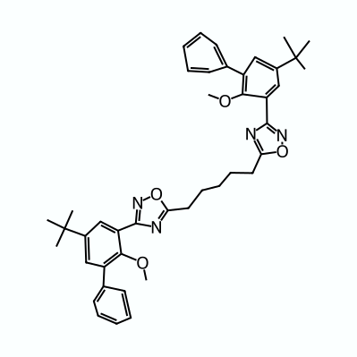 COc1c(-c2ccccc2)cc(C(C)(C)C)cc1-c1noc(CCCCCc2nc(-c3cc(C(C)(C)C)cc(-c4ccccc4)c3OC)no2)n1